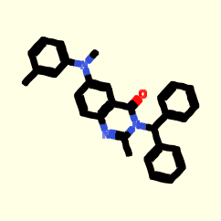 Cc1cccc(N(C)c2ccc3nc(C)n(C(c4ccccc4)c4ccccc4)c(=O)c3c2)c1